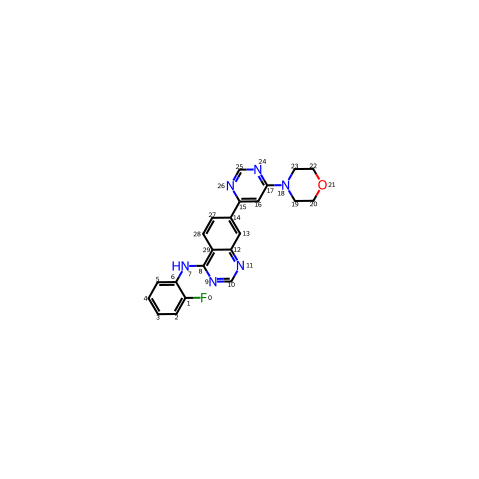 Fc1ccccc1Nc1ncnc2cc(-c3cc(N4CCOCC4)ncn3)ccc12